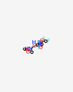 Nc1c(C(=O)c2ccc(F)cc2F)ccc(=O)n1-c1c(F)cc(OCCCN[C@@H](C(=O)OC2CC3CCC2C3)c2ccccc2)cc1F